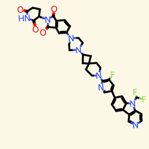 O=C1CCC(N2C(=O)c3ccc(N4CCN(C5CC6(CCN(c7ncc(-c8ccc9c%10cnccc%10n(C(F)F)c9c8)cc7F)CC6)C5)CC4)cc3C2=O)C(=O)N1